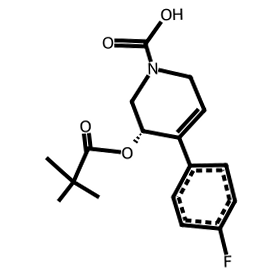 CC(C)(C)C(=O)O[C@@H]1CN(C(=O)O)CC=C1c1ccc(F)cc1